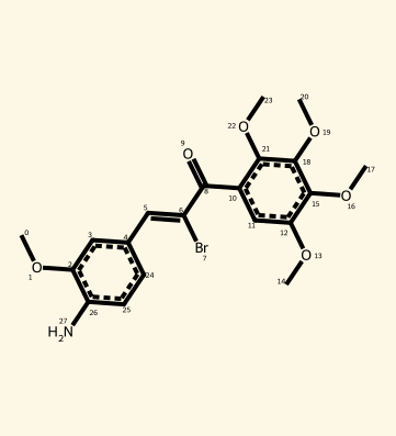 COc1cc(C=C(Br)C(=O)c2cc(OC)c(OC)c(OC)c2OC)ccc1N